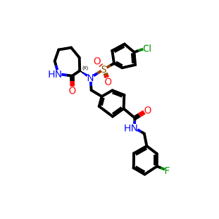 O=C(NCc1cccc(F)c1)c1ccc(CN([C@@H]2CCCCNC2=O)S(=O)(=O)c2ccc(Cl)cc2)cc1